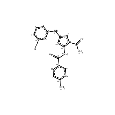 NC(=O)c1nc(Nc2ccnc(F)c2)sc1NC(=O)c1ccc([N+](=O)[O-])cc1